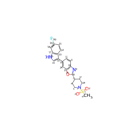 CS(=O)(=O)N1CCC(c2nc3ccc(-c4c[nH]c5cc(F)ccc45)cc3o2)CC1